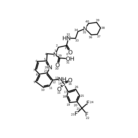 O=C(CN(Cc1ccc2cccc(NS(=O)(=O)c3ccc(C(F)(F)F)cc3)c2n1)C(=O)O)NCCN1CCCCC1